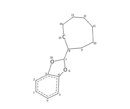 c1ccc2c(c1)OC(C1CCCCCCC1)O2